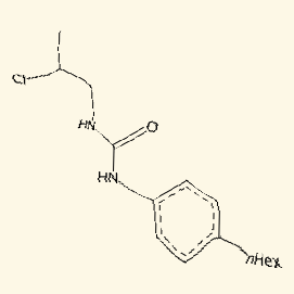 CCCCCCc1ccc(NC(=O)NCC(C)Cl)cc1